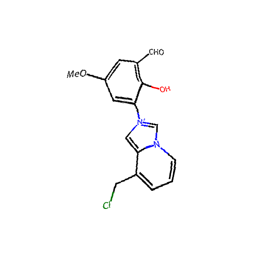 COc1cc(C=O)c(O)c(-[n+]2cc3c(CCl)cccn3c2)c1